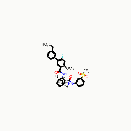 COc1cc(F)c(-c2cccc(CC(=O)O)c2)cc1C(=O)N[C@@H]1[C@H](C(=O)Nc2cccc(S(=O)(=O)C(F)(F)F)c2)[C@H]2C=C[C@@H]1C2